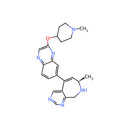 C[C@@H]1C=C(c2ccc3ncc(OC4CCN(C)CC4)nc3c2)c2cncnc2CN1